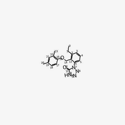 CCc1cccc(-n2nn[nH]c2=O)c1COc1ccc(C)cc1C